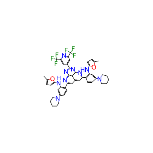 Cc1ccc(Nc2cc(N3CCCCC3)ccc2C2=CC3=CC(c4ccc(N5CCCCC5)cc4Nc4ccc(C)o4)=NC4=NC(c5cc(C(F)(F)F)nc(C(F)(F)F)c5)=NC(=N2)C34)o1